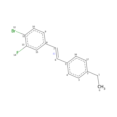 CCc1ccc(/C=C/c2ccc(Br)c(F)c2)cc1